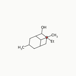 CCOC1C2CC(C)CC1C(O)C(C)C2